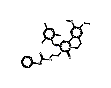 COc1cc2c(cc1OC)-c1c/c(=N\c3c(C)cc(C)cc3C)n(CCNC(=O)Nc3ccccc3)c(=O)n1CC2